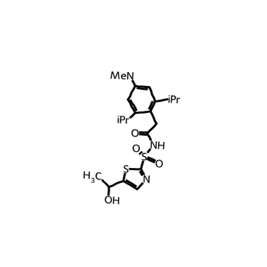 CNc1cc(C(C)C)c(CC(=O)NS(=O)(=O)c2ncc(C(C)O)s2)c(C(C)C)c1